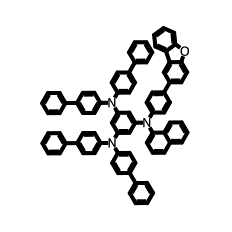 c1ccc(-c2ccc(N(c3ccc(-c4ccccc4)cc3)c3cc(N(c4ccc(-c5ccccc5)cc4)c4ccc(-c5ccccc5)cc4)cc(N(c4ccc(-c5ccc6oc7ccccc7c6c5)cc4)c4cccc5ccccc45)c3)cc2)cc1